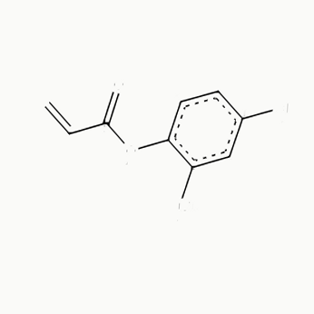 C=CC(=O)Oc1ccc(O)cc1C(C)(C)C